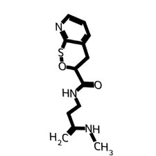 C=C(CCNC(=O)C1Cc2cccnc2SO1)NC